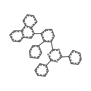 c1ccc(-c2nc(-c3ccccc3)nc(-c3cccc(-c4cc5ccccc5c5ccccc45)c3-c3ccccc3)n2)cc1